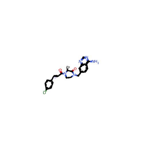 CCC1C(=O)N(Cc2ccc3c(N)ncnc3c2)CCN1C(=O)/C=C/c1ccc(Cl)cc1